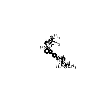 COC(=O)N[C@@H](C)C(=O)N1CCC[C@H]1c1ncc(-c2ccc(-c3ccc4c(c3)CCCc3[nH]c([C@@H]5CCCN5C(=O)[C@H](C)NC(=O)OC)nc3-4)cc2)[nH]1